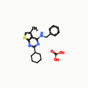 Cc1csc2nc(C3CCCCC3)nc(NCc3ccccc3)c12.O=C(O)O